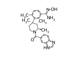 Cc1ccc(/C(N)=N/O)cc1[C@]1(C)CCN(C(=O)c2ccc3nc[nH]c3c2)[C@H](C)[C@H]1C